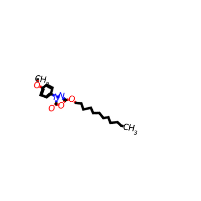 CCCCCCCCCCCCOc1nn(-c2ccc(OC)cc2)c(=O)o1